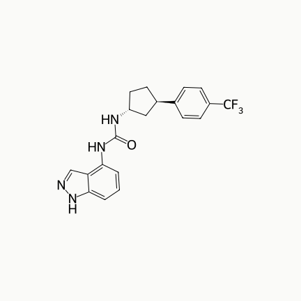 O=C(Nc1cccc2[nH]ncc12)N[C@@H]1CC[C@@H](c2ccc(C(F)(F)F)cc2)C1